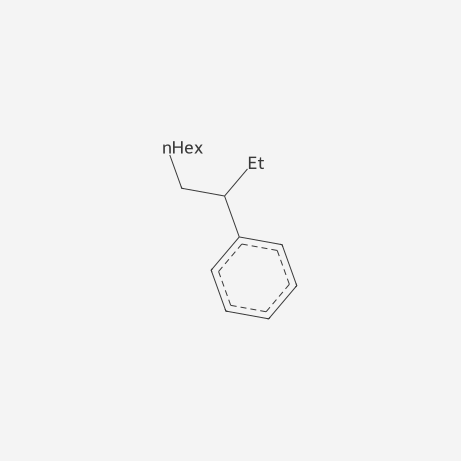 [CH2]CCCCCCC(CC)c1ccccc1